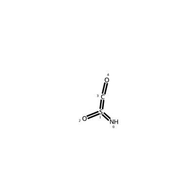 N=S(=O)=C=O